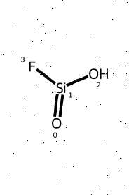 O=[Si](O)F